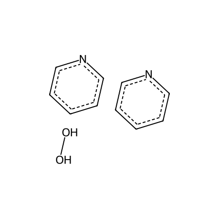 OO.c1ccncc1.c1ccncc1